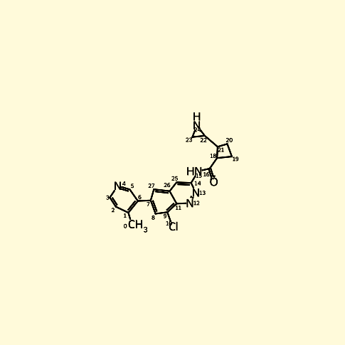 Cc1ccncc1-c1cc(Cl)c2nnc(NC(=O)C3CCC3C3CN3)cc2c1